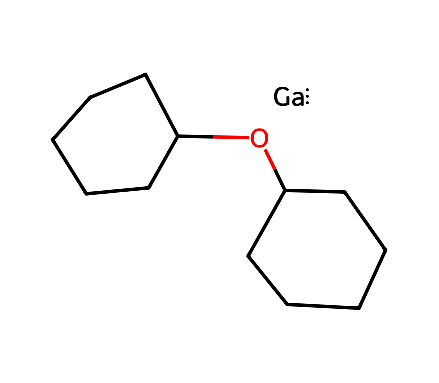 C1CCC(OC2CCCCC2)CC1.[Ga]